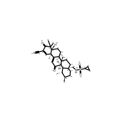 C[C@@H]1[C@H]2[C@H]3C(=O)C=C4[C@@]5(C)C=C(C#N)C(=O)C(C)(C)[C@@H]5CC[C@@]4(C)[C@]3(C)CC[C@@]2(CNS(=O)(=O)C2CC2)CC[C@H]1C